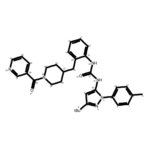 Cc1ccc(-n2nc(C(C)(C)C)cc2NC(=O)Nc2ccccc2CC2CCN(C(=O)c3cccnc3)CC2)cc1